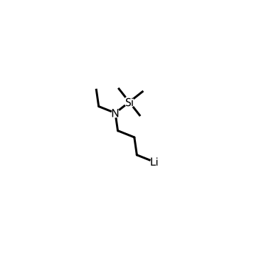 [Li][CH2]CCN(CC)[Si](C)(C)C